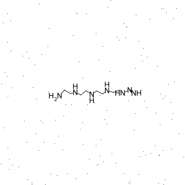 N=NNCCNCCNCCNCCN